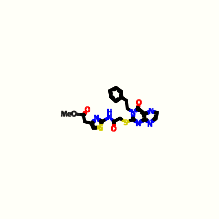 COC(=O)Cc1csc(NC(=O)CSc2nc3nccnc3c(=O)n2CCc2ccccc2)n1